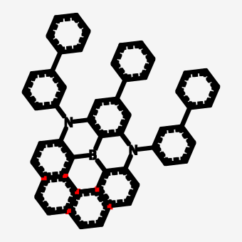 c1ccc(-c2cccc(N3c4cccc(-c5ccccc5)c4B4c5c(-c6ccccc6)cccc5N(c5cccc(-c6ccccc6)c5)c5cc(-c6ccccc6)cc3c54)c2)cc1